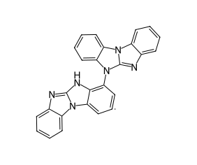 [c]1cc(-n2c3ccccc3n3c4ccccc4nc23)c2[nH]c3nc4ccccc4n3c2c1